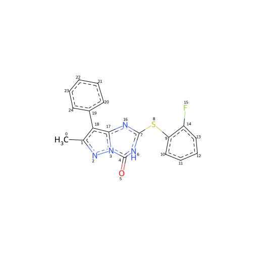 Cc1nn2c(=O)[nH]c(Sc3ccccc3F)nc2c1-c1ccccc1